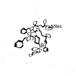 CC(C)(C)OC(=O)CC[C@H](C(=O)OCc1ccccc1)N(CCC(=O)CCc1ccccc1)C(=O)[C@@H]1C[C@@H](NC(=O)OC(C)(C)C)CN1C(=O)OCc1ccccc1